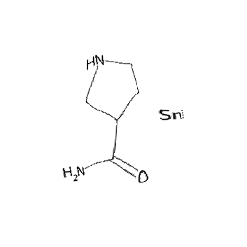 NC(=O)C1CCNC1.[Sn]